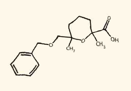 CC1(COCc2ccccc2)CCCC(C)(C(=O)O)O1